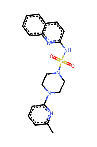 Cc1cccc(N2CCN(S(=O)(=O)Nc3ccc4ccccc4n3)CC2)n1